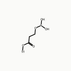 CCOC(=O)CCON(O)O